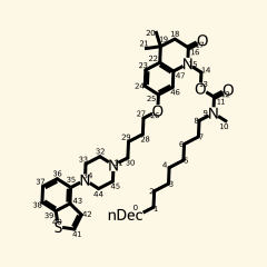 CCCCCCCCCCCCCCCCCCN(C)C(=O)OCN1C(=O)CC(C)(C)c2ccc(OCCCCN3CCN(c4cccc5sccc45)CC3)cc21